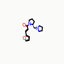 O=C(/C=C/c1ccco1)N1CCC[C@H]1CN1CCCC1